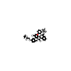 CC(C)(C)OC(=O)COc1ccc(CNC(=O)[C@@H]2c3ccccc3C(=O)N([C@H]3CCCC[C@@H]3NS(C)(=O)=O)[C@H]2c2ccc(Cl)cc2Cl)cc1